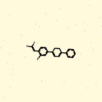 FC(F)=Cc1ccc(C2=CC=C(c3ccccc3)CC2)cc1F